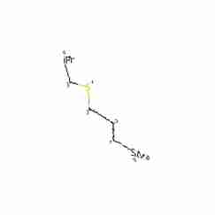 CSCCCSCC(C)C